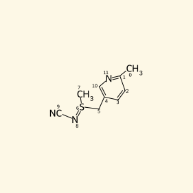 Cc1ccc(C/S(C)=N/C#N)cn1